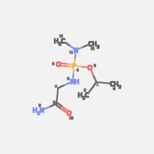 CC(C)OP(=O)(NCC(N)=O)N(C)C